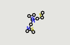 c1ccc(-c2ccccc2-c2cc(-c3ccc(-c4nc5ccccc5c5c4sc4ccccc45)cc3)nc(-c3ccc(-c4cccc5c4sc4ccccc45)cc3)n2)cc1